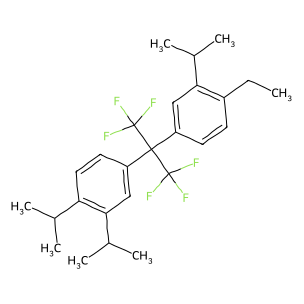 CCc1ccc(C(c2ccc(C(C)C)c(C(C)C)c2)(C(F)(F)F)C(F)(F)F)cc1C(C)C